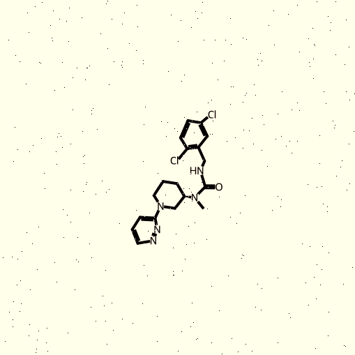 CN(C(=O)NCc1cc(Cl)ccc1Cl)[C@@H]1CCCN(c2cccnn2)C1